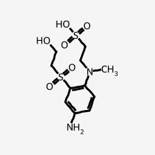 CN(CCS(=O)(=O)O)c1ccc(N)cc1S(=O)(=O)CCO